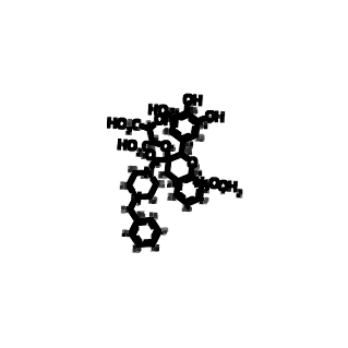 O.O.O=C(O)C(O)C(OC1(C(=O)N2CCN(Cc3ccccc3)CC2)Cc2ccccc2OC1c1cc(O)c(O)c(O)c1)C(=O)O